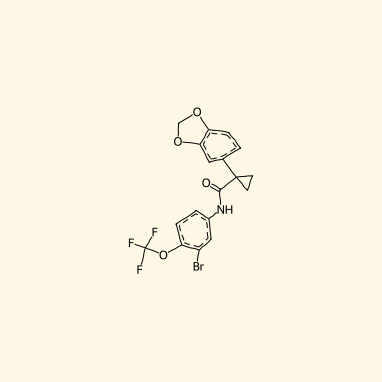 O=C(Nc1ccc(OC(F)(F)F)c(Br)c1)C1(c2ccc3c(c2)OCO3)CC1